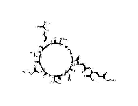 COOC(=O)CC[C@H](NC(=O)CNC(=O)[C@@H]1CSSC[C@H](NC(C)=O)C(=O)N[C@@H](CCCNC(=N)N)C(=O)N[C@@H](CO)C(=O)N[C@@H](CC(=O)OOC)C(=O)N[C@@H]([C@@H](C)O)C(=O)N[C@@H](CC(C)C)C(=O)N1)C(N)=O